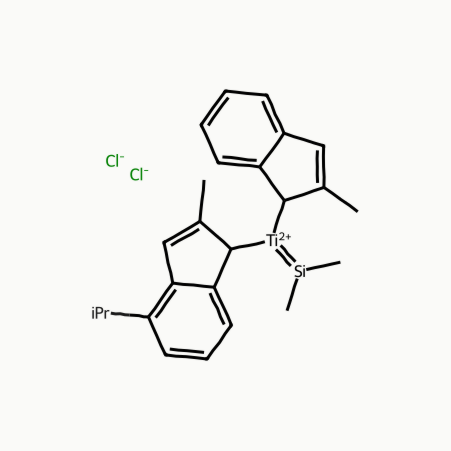 CC1=Cc2ccccc2[CH]1[Ti+2]([CH]1C(C)=Cc2c(C(C)C)cccc21)=[Si](C)C.[Cl-].[Cl-]